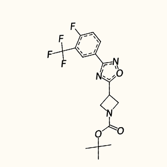 CC(C)(C)OC(=O)N1CC(c2nc(-c3ccc(F)c(C(F)(F)F)c3)no2)C1